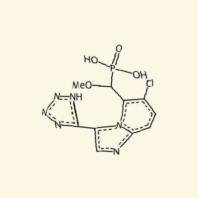 COC(c1c(Cl)ccc2ncc(-c3nnn[nH]3)n12)P(=O)(O)O